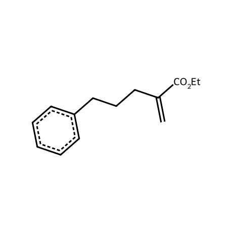 C=C(CCCc1ccccc1)C(=O)OCC